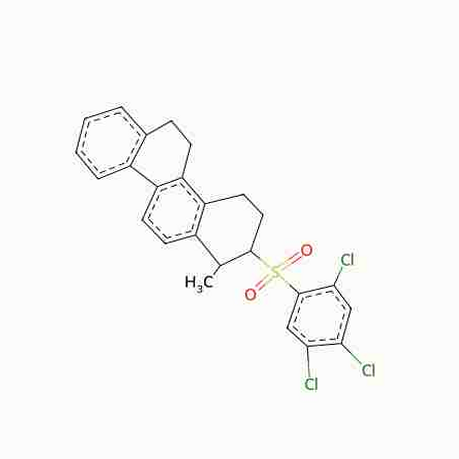 CC1c2ccc3c(c2CCC1S(=O)(=O)c1cc(Cl)c(Cl)cc1Cl)CCc1ccccc1-3